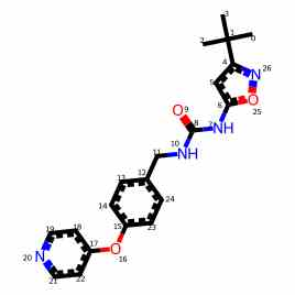 CC(C)(C)c1cc(NC(=O)NCc2ccc(Oc3ccncc3)cc2)on1